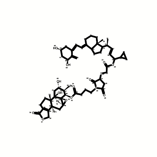 C=C1/C(=C\C=C2/CCC[C@@]3(C)C2CCC3[C@@H](C)/C=C/C(OC(=O)CSC2CC(=O)N(CCCC(=O)O[C@@H]3[C@H](C(C)C)[C@@H](O)C[C@]4(O)[C@]35O[C@H]5C[C@H]3C5=C(CC[C@@]34C)C(=O)OC5)C2=O)C2CC2)C[C@@H](O)C[C@@H]1O